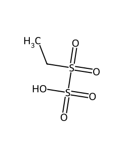 CCS(=O)(=O)S(=O)(=O)O